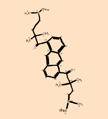 CCCCCN(C)CCC(C)(C)C(=O)c1cccc2cc3c(C(=O)C(C)(C)CCN(C)CCCCC)cccc3cc12